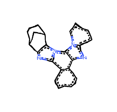 c1ccc2c(c1)c1nc3ccccn3c1n1c3c(nc21)C1CCC3C1